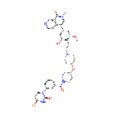 COc1cc(-c2cn(C)c(=O)c3cnccc23)cc(OC)c1CCN1CCC(OC2CCN(C(=O)c3cccc(-n4ccc(=O)[nH]c4=O)c3)CC2)CC1